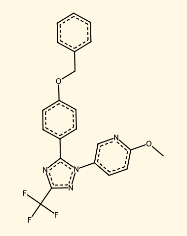 COc1ccc(-n2nc(C(F)(F)F)nc2-c2ccc(OCc3ccccc3)cc2)cn1